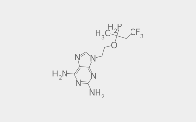 CC(P)(CC(F)(F)F)OCCn1cnc2c(N)nc(N)nc21